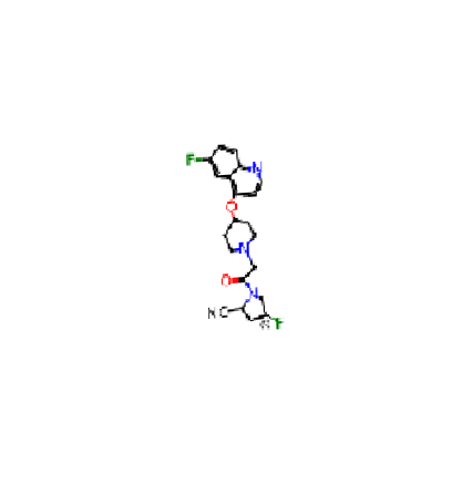 N#CC1C[C@H](F)CN1C(=O)CN1CCC(Oc2ccnc3ccc(F)cc23)CC1